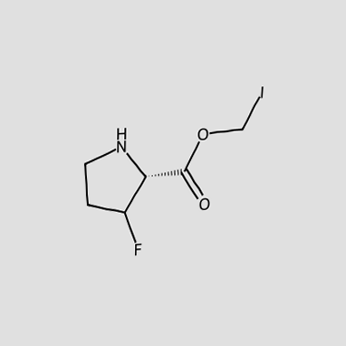 O=C(OCI)[C@H]1NCCC1F